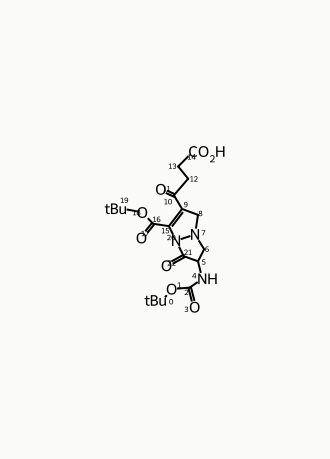 CC(C)(C)OC(=O)NC1CN2CC(C(=O)CCC(=O)O)=C(C(=O)OC(C)(C)C)N2C1=O